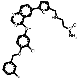 N[S+]([O-])CCNCc1ccc(-c2ccc3ncnc(Nc4ccc(OCc5cccc(F)c5)c(Cl)c4)c3c2)o1